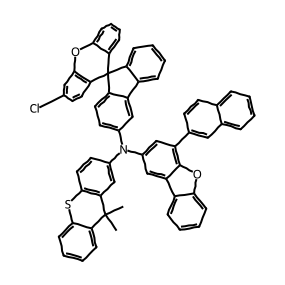 CC1(C)c2ccccc2Sc2ccc(N(c3ccc4c(c3)-c3ccccc3C43c4ccccc4Oc4cc(Cl)ccc43)c3cc(-c4ccc5ccccc5c4)c4oc5ccccc5c4c3)cc21